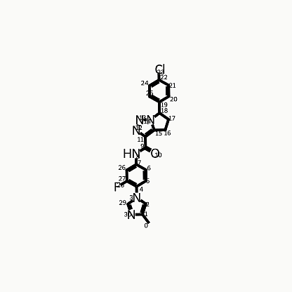 Cc1cn(-c2ccc(NC(=O)c3nnn4c3CCC4c3ccc(Cl)cc3)cc2F)cn1